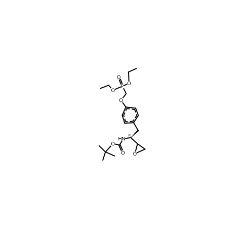 CCOP(=O)(COc1ccc(C[C@H](NC(=O)OC(C)(C)C)C2CO2)cc1)OCC